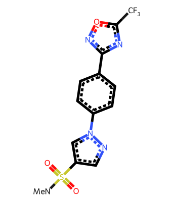 CNS(=O)(=O)c1cnn(-c2ccc(-c3noc(C(F)(F)F)n3)cc2)c1